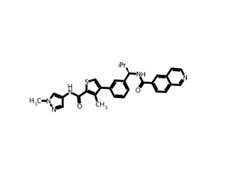 Cc1c(-c2cccc([C@H](NC(=O)c3ccc4cnccc4c3)C(C)C)c2)csc1C(=O)Nc1cnn(C)c1